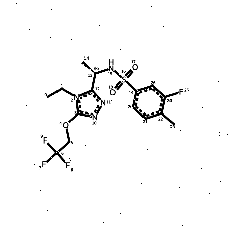 CCn1c(OCC(F)(F)F)nnc1[C@@H](C)NS(=O)(=O)c1ccc(C)c(F)c1